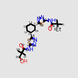 CCC(C)(C)C(=O)Nc1nnc([C@H]2CCC[C@H](c3nnc(NC(=O)C(C)(C)CO)s3)C2)s1